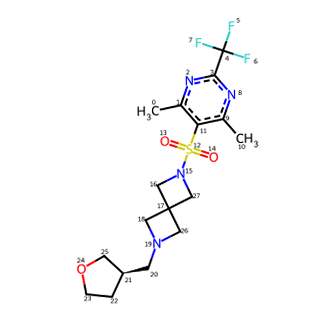 Cc1nc(C(F)(F)F)nc(C)c1S(=O)(=O)N1CC2(CN(C[C@H]3CCOC3)C2)C1